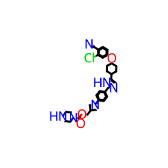 N#Cc1ccc(OC2CCC(c3cnc(-c4ccc(N5CC(COC(=O)N6CCNCC6)C5)cc4)[nH]3)CC2)cc1Cl